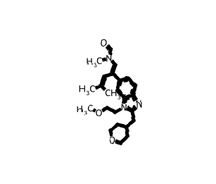 COCCn1c(CC2CCOCC2)nc2ccc(/C(C=C(C)C)=C/N(C)C=O)cc21